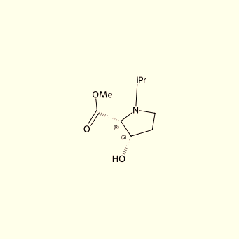 COC(=O)[C@H]1[C@@H](O)CCN1C(C)C